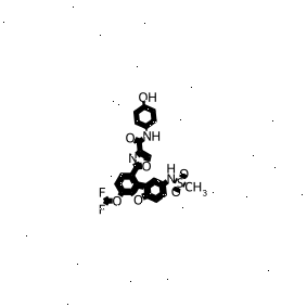 CS(=O)(=O)Nc1ccc2oc3c(OC(F)F)ccc(-c4nc(C(=O)N[C@H]5CC[C@H](O)CC5)co4)c3c2c1